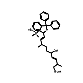 CCCC[Si](C)(C)OC(C=CC(C)CCC(O)C=CC(C)CC(C)CCC)OC(c1ccccc1)(c1ccccc1)c1ccccc1